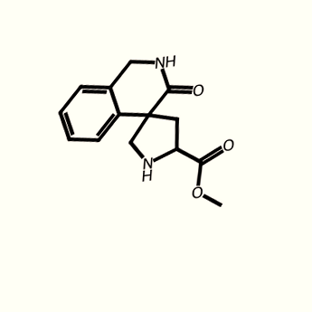 COC(=O)C1CC2(CN1)C(=O)NCc1ccccc12